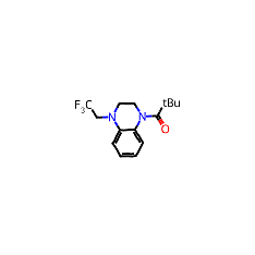 CC(C)(C)C(=O)N1CCN(CC(F)(F)F)c2ccccc21